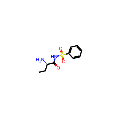 CC[C@H](N)C(=O)NS(=O)(=O)c1ccccc1